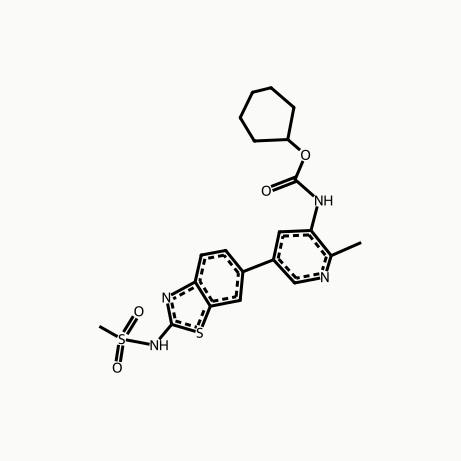 Cc1ncc(-c2ccc3nc(NS(C)(=O)=O)sc3c2)cc1NC(=O)OC1CCCCC1